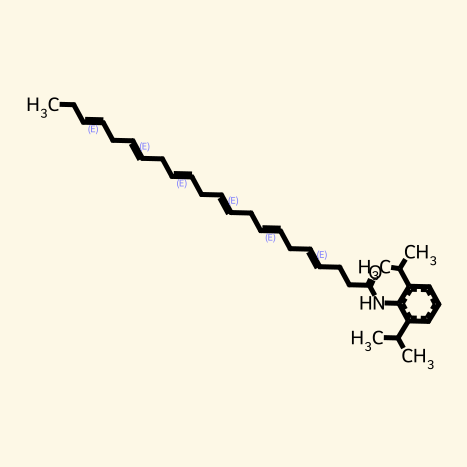 CC/C=C/C/C=C/C/C=C/C/C=C/C/C=C/C/C=C/CCC(=O)Nc1c(C(C)C)cccc1C(C)C